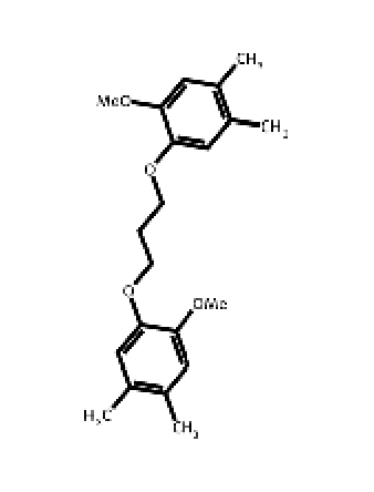 COc1cc(C)c(C)cc1OCCCOc1cc(C)c(C)cc1OC